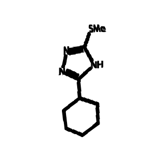 [CH2]Sc1nnc(C2CCCCC2)[nH]1